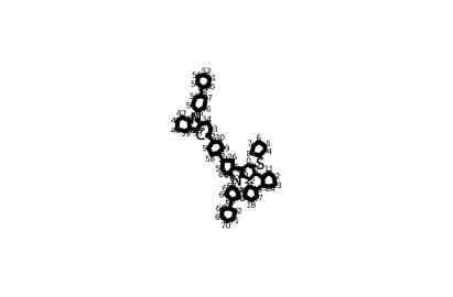 C1=C(Sc2ccccc2)C(c2ccccc2-c2ccccc2)Cc2c1c1cc(-c3ccc(-c4ccc5c(c4)c4ccccc4n5-c4ccc(-c5ccccc5)cc4)cc3)ccc1n2-c1ccc(-c2ccccc2)cc1